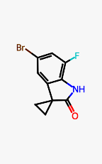 O=C1Nc2c(F)cc(Br)cc2C12CC2